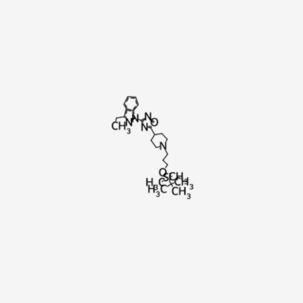 CCc1nn(-c2noc(C3CCN(CCCO[Si](C)(C)C(C)(C)C)CC3)n2)c2ccccc12